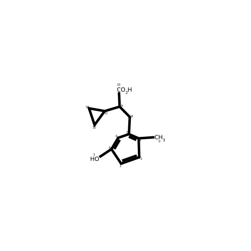 Cc1ccc(O)cc1CC(C(=O)O)C1CC1